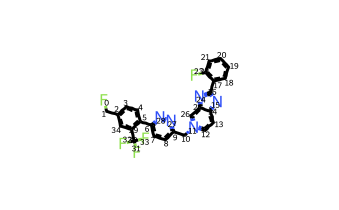 FCc1ccc(-c2ccc(Cn3ccc4nc(-c5ccccc5F)nc-4c3)nn2)c(C(F)(F)F)c1